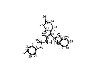 Cc1ccc(CC(=S)Nc2sc3c(c2-c2nc4ccccc4s2)CCN(C)C3)cc1